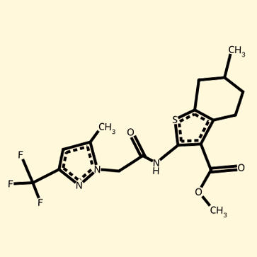 COC(=O)c1c(NC(=O)Cn2nc(C(F)(F)F)cc2C)sc2c1CCC(C)C2